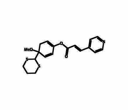 COC1(C2SCCCS2)C=CC(OC(=O)/C=C/c2ccncc2)=CC1